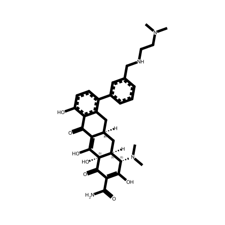 CN(C)CCNCc1cccc(-c2ccc(O)c3c2C[C@H]2C[C@H]4[C@H](N(C)C)C(O)=C(C(N)=O)C(=O)[C@@]4(O)C(O)=C2C3=O)c1